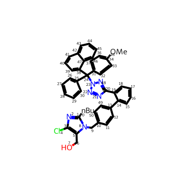 CCCCc1nc(Cl)c(CO)n1Cc1ccc(-c2ccccc2-c2nnn(C(c3ccccc3)(c3ccc(OC)cc3)c3cccc4ccccc34)n2)cc1